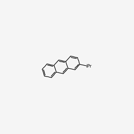 CC(C)c1ccc2cc3ccccc3cc2c1